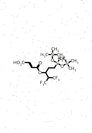 C[Si](C)(C)O[Si](C)(CCC(OC(=O)/C=C/C(=O)O)C(C(F)(F)F)C(F)(F)F)O[Si](C)(C)C